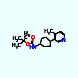 Cc1ccncc1C1CCC(NC(=O)OC(C)(C)C)CC1